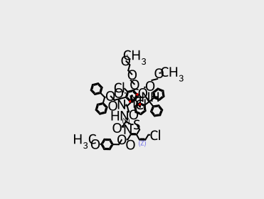 COCCOCOc1c(Cl)cc(C([O])(N=C(C(=O)N[C@H]2C(=O)N3C(C(=O)OCc4ccc(OC)cc4)=C(/C=C\CCl)CSC23)c2csc(NC(c3ccccc3)(c3ccccc3)c3ccccc3)n2)C(=O)OC(c2ccccc2)c2ccccc2)c(Cl)c1OCOCCOC